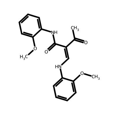 COc1ccccc1N/C=C(/C(C)=O)C(=O)Nc1ccccc1OC